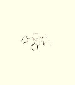 CNC(=O)C1CCC(c2ccccc2)N1c1ccccc1